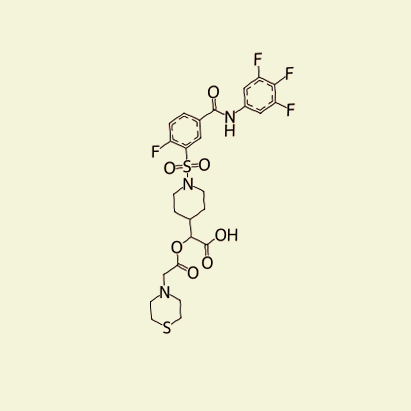 O=C(CN1CCSCC1)OC(C(=O)O)C1CCN(S(=O)(=O)c2cc(C(=O)Nc3cc(F)c(F)c(F)c3)ccc2F)CC1